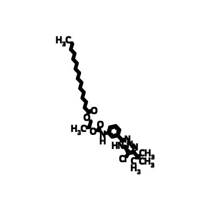 CCCCCCCCCCCCCCCC(=O)OCC(C)OC(=O)Nc1cccc(-c2nn3nc(C(C)(C)C)c(Cl)c3[nH]2)c1